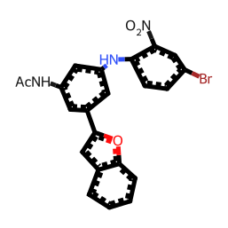 CC(=O)Nc1cc(Nc2ccc(Br)cc2[N+](=O)[O-])cc(-c2cc3ccccc3o2)c1